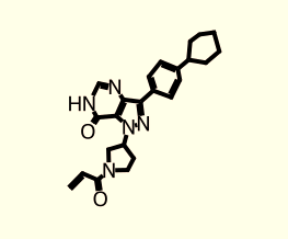 C=CC(=O)N1CCC(n2nc(-c3ccc(C4CCCCC4)cc3)c3nc[nH]c(=O)c32)C1